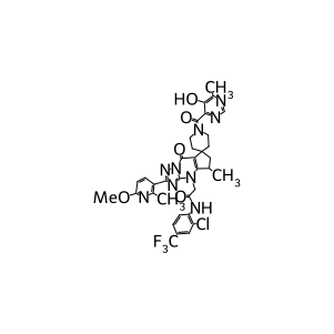 COc1ccc(-c2nc3n(CC(=O)Nc4ccc(C(F)(F)F)cc4Cl)c4c(c(=O)n3n2)C2(CCN(C(=O)c3ncnc(C)c3O)CC2)CC4C)c(C)n1